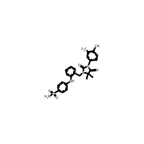 CC1(C)C(=O)N(c2ccc(C#N)c(C(F)(F)F)c2)C(=O)N1Cc1ccccc1Nc1ccc(S(N)(=O)=O)cc1